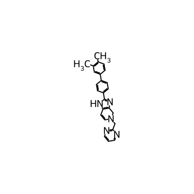 Cc1ccc(-c2ccc(-c3nc4c([nH]3)C=CN(Cc3ncccn3)C4)cc2)cc1C